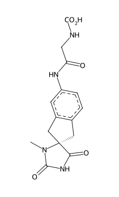 CN1C(=O)NC(=O)[C@@]12Cc1ccc(NC(=O)CNC(=O)O)cc1C2